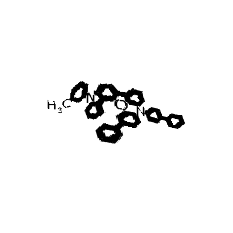 CC1C=CC=C(n2c3ccccc3c3c4oc5c(N(c6ccc(-c7ccccc7)cc6)c6ccc(-c7ccccc7)cc6)cccc5c4ccc32)C1